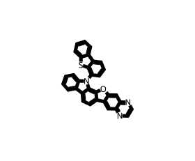 c1ccc2c(c1)sc1c(-n3c4ccccc4c4ccc5c6cc7nccnc7cc6oc5c43)cccc12